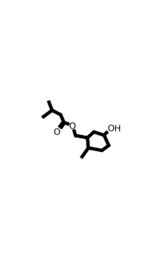 CC(C)CC(=O)OCC1CC(O)CCC1C